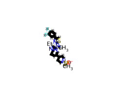 CCc1nc2ccc(C3CCN([S+](C)[O-])CC3)cn2c1N(C)c1nc(-c2ccc(F)c(F)c2)cs1